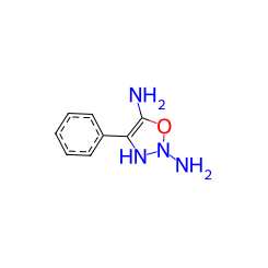 NC1=C(c2ccccc2)NN(N)O1